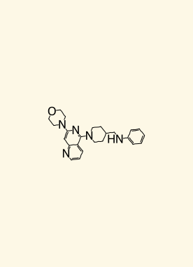 c1ccc(NCC2CCN(c3nc(N4CCOCC4)cc4ncccc34)CC2)cc1